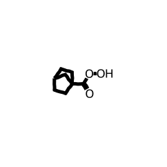 O=C(OO)C12CCC(CC1)C2